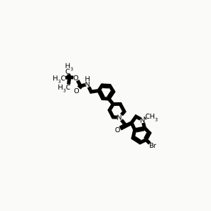 CN1CC(C(=O)N2CCC(c3cccc(CNC(=O)OC(C)(C)C)c3)CC2)c2ccc(Br)cc21